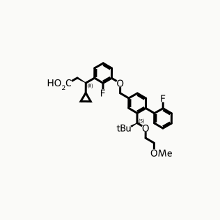 COCCO[C@H](c1cc(COc2cccc([C@H](CC(=O)O)C3CC3)c2F)ccc1-c1ccccc1F)C(C)(C)C